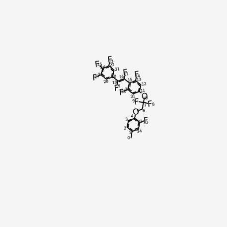 Cc1ccc(OCC(F)(F)Oc2cc(F)c(/C(F)=C(\F)c3cc(F)c(F)c(F)c3)c(F)c2)c(F)c1